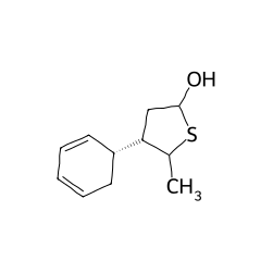 CC1SC(O)CC1[C@H]1C=CC=CC1